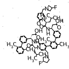 Cc1cccc(C)c1-c1cccc([C@H](CC(=O)O)NC(=O)[C@H](CC(C)C)n2cc(CN3CC[C@@H](F)C3)c(-c3ccc(C)c(-c4cccc([C@H](CC(=O)O)NC(=O)[C@H](CC(C)C)n5cc(CN6CC(F)C6)ccc5=O)c4)c3C)cc2=O)c1